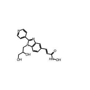 O=C(/C=C/c1ccc2c(c1)nc(-c1ccncc1)n2CC(O)CO)NO